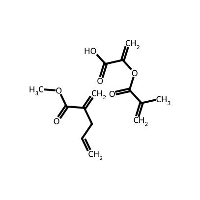 C=C(C)C(=O)OC(=C)C(=O)O.C=CCC(=C)C(=O)OC